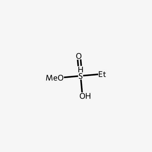 CC[SH](=O)(O)OC